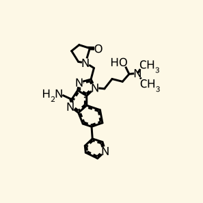 CN(C)C(O)CCCn1c(CN2CCCC2=O)nc2c(N)nc3cc(-c4cccnc4)ccc3c21